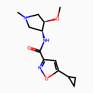 CO[C@@H]1CN(C)C[C@@H]1NC(=O)c1cc(C2CC2)on1